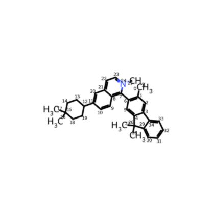 Cc1cc2c(cc1-c1c3ccc(C4CCC(C)(C)CC4)cc3cc[n+]1C)C(C)(C)c1ccccc1-2